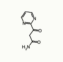 NC(=O)CC(=O)c1ncccn1